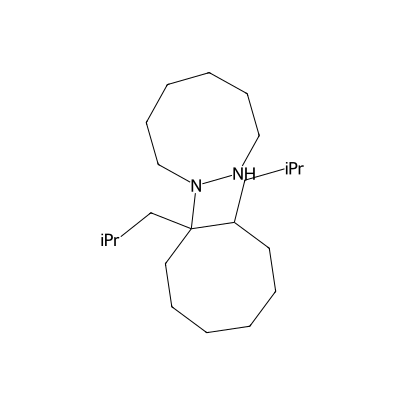 CC(C)CC1CCCCCCC1(CC(C)C)N1CCCCCCN1